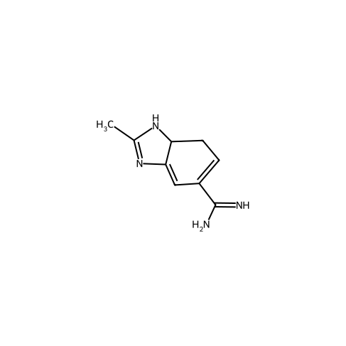 CC1=NC2=CC(C(=N)N)=CCC2N1